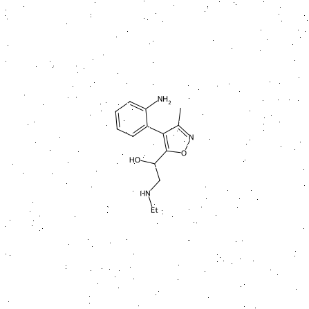 CCNCC(O)c1onc(C)c1-c1ccccc1N